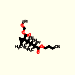 CCCOCOC(=O)C1(C(C)(C)C(C)(C)C(C)(C(=O)OCCCC#N)C(C)C)CC1C